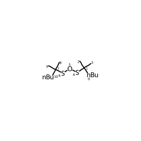 CCCCC(C)(C)SOSC(C)(C)CCCC